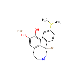 Br.C[S+](C)c1ccc(C2(Br)CNCCc3cc(O)c(O)cc32)cc1